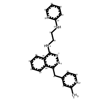 Cc1cc(Cc2nnc(NCCNc3ccccn3)c3ccccc23)ccn1